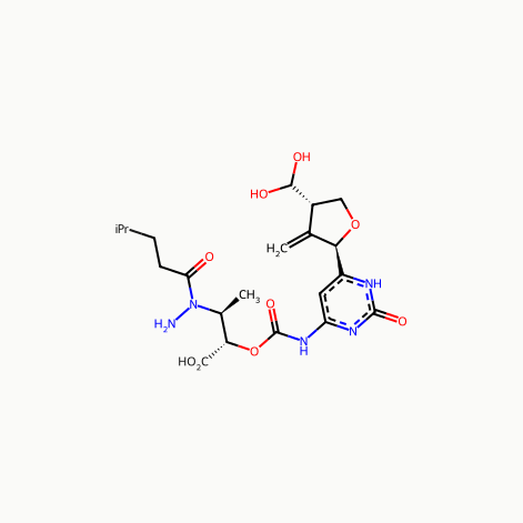 C=C1[C@H](c2cc(NC(=O)O[C@H](C(=O)O)[C@H](C)N(N)C(=O)CCC(C)C)nc(=O)[nH]2)OC[C@H]1C(O)O